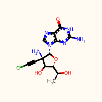 C[C@H](O)[C@H]1O[C@@H](n2cnc3c(=O)[nH]c(N)nc32)[C@@](N)(C#CCl)C1O